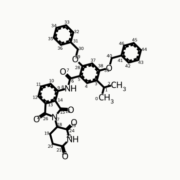 CC(C)c1cc(C(=O)Nc2cccc3c2C(=O)N(C2CCC(=O)NC2=O)C3=O)c(OCc2ccccc2)cc1OCc1ccccc1